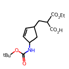 CCOC(=O)C(CC1C=CC(NC(=O)OC(C)(C)C)C1)C(=O)O